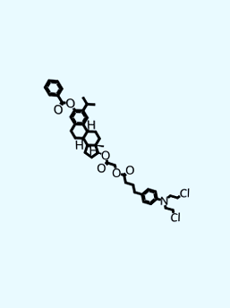 CC(C)c1cc2c(cc1OC(=O)c1ccccc1)CC[C@@H]1[C@@H]2CC[C@]2(C)[C@@H](OC(=O)COC(=O)CCCc3ccc(N(CCCl)CCCl)cc3)CC[C@@H]12